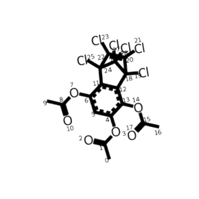 CC(=O)Oc1cc(OC(C)=O)c2c(c1OC(C)=O)C1(Cl)C(Cl)=C(Cl)C2(Cl)C1(Cl)Cl